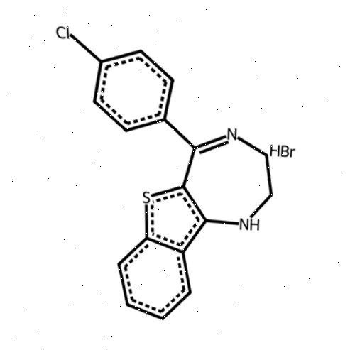 Br.Clc1ccc(C2=NCCNc3c2sc2ccccc32)cc1